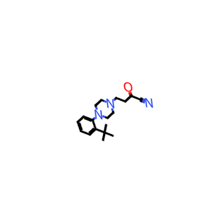 CC(C)(C)c1ccccc1N1CCN(CCC(=O)C#N)CC1